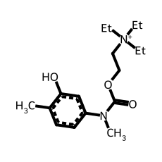 CC[N+](CC)(CC)CCOC(=O)N(C)c1ccc(C)c(O)c1